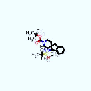 CC(C)(C)OC(=O)N1CCC2(CC1)Cc1ccccc1[C@@]2(C)N[S@+]([O-])C(C)(C)C